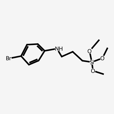 CO[Si](CCCNc1ccc(Br)cc1)(OC)OC